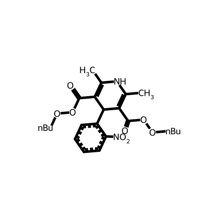 CCCCOOC(=O)C1=C(C)NC(C)=C(C(=O)OOCCCC)C1c1ccccc1[N+](=O)[O-]